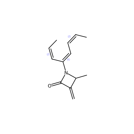 C=C1C(=O)N(C(/C=C\C)=C/C=C\C)C1C